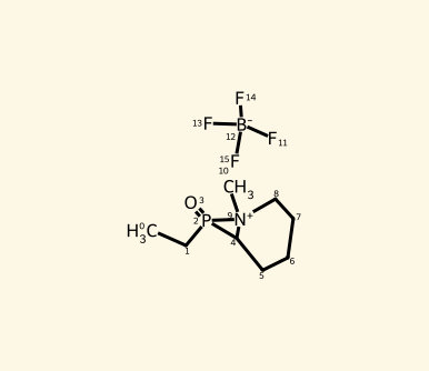 CCP1(=O)C2CCCC[N+]21C.F[B-](F)(F)F